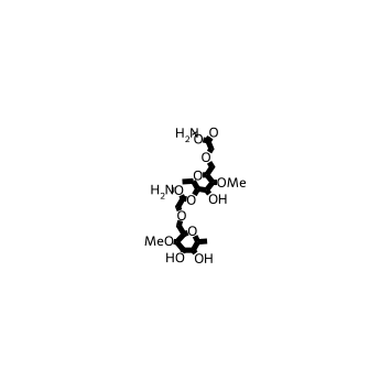 COC1C(COCC(ON)OC2C(C)OC(COCC(=O)ON)C(OC)C2O)OC(C)C(O)C1O